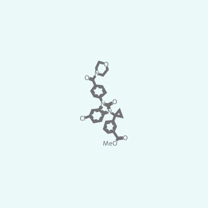 COC(=O)c1cccc(C2(n3c(=O)n(-c4ccc(C(=O)N5CCOCC5)cc4)c4cc(Cl)ccc43)CC2)c1